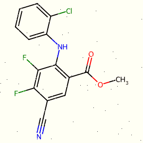 COC(=O)c1cc(C#N)c(F)c(F)c1Nc1ccccc1Cl